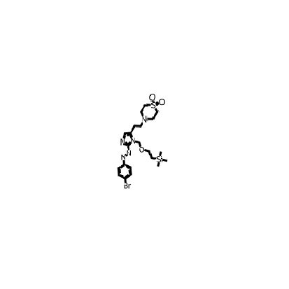 C[Si](C)(C)CCOCn1c(CCN2CCS(=O)(=O)CC2)cnc1N=Nc1ccc(Br)cc1